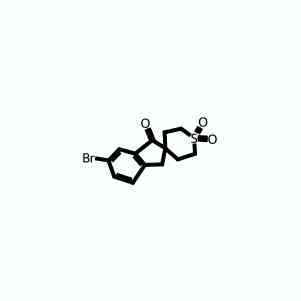 O=C1c2cc(Br)ccc2CC12CCS(=O)(=O)CC2